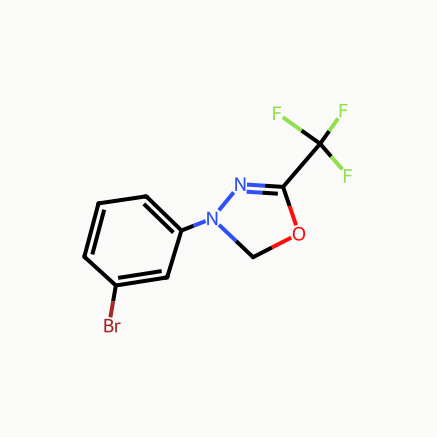 FC(F)(F)C1=NN(c2cccc(Br)c2)CO1